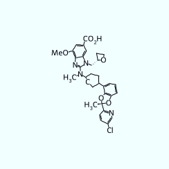 COc1cc(C(=O)O)cc2c1nc(N(C)C1CCC(c3cccc4c3O[C@@](C)(c3ccc(Cl)cn3)O4)CC1)n2C[C@@H]1CCO1